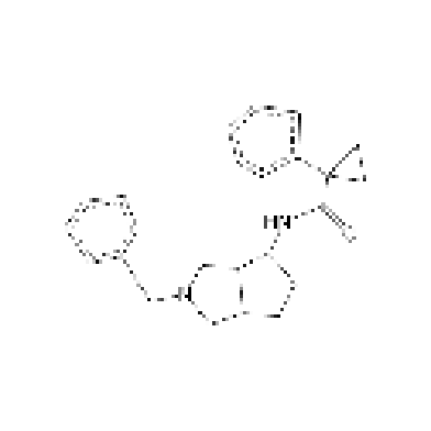 O=C(NC1CCC2CN(Cc3ccccc3)CC21)C1(c2ccccc2)CC1